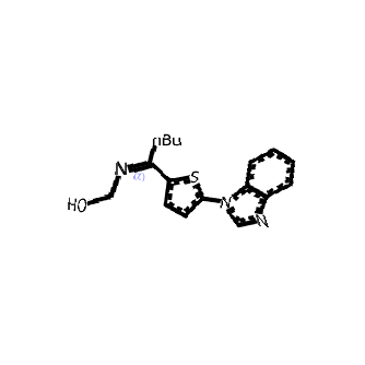 CCCC/C(=N/CO)c1ccc(-n2cnc3ccccc32)s1